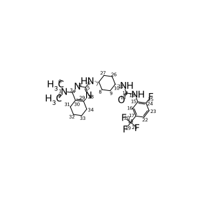 CN(C)c1nc(N[C@H]2CC[C@@H](NC(=O)Nc3cc(C(F)(F)F)ccc3F)CC2)nc2c1CCCC2